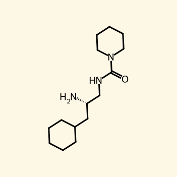 N[C@H](CNC(=O)N1CCCCC1)CC1CCCCC1